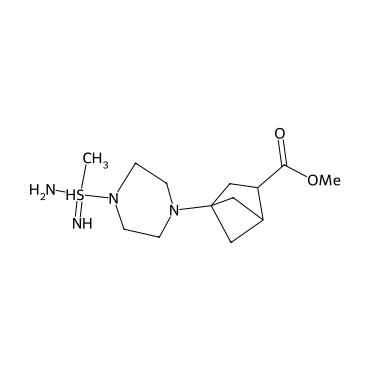 COC(=O)C1CC2(N3CCN([SH](C)(=N)N)CC3)CC1C2